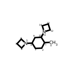 CC1CCC(N2CCC2)CC1N1CCC1